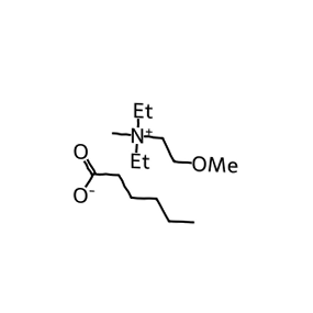 CCCCCC(=O)[O-].CC[N+](C)(CC)CCOC